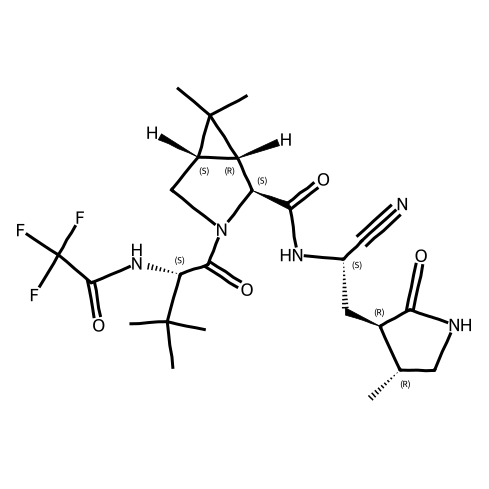 C[C@H]1CNC(=O)[C@@H]1C[C@@H](C#N)NC(=O)[C@@H]1[C@@H]2[C@H](CN1C(=O)[C@@H](NC(=O)C(F)(F)F)C(C)(C)C)C2(C)C